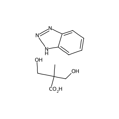 CC(CO)(CO)C(=O)O.c1ccc2[nH]nnc2c1